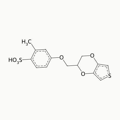 Cc1cc(OCC2COc3cscc3O2)ccc1S(=O)(=O)O